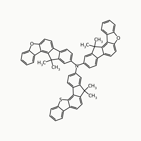 CC1(C)c2cc(N(c3ccc4c(c3)C(C)(C)c3c-4ccc4oc5ccccc5c34)c3ccc4c(c3)C(C)(C)c3c-4ccc4oc5ccccc5c34)ccc2-c2c1ccc1c2sc2ccccc21